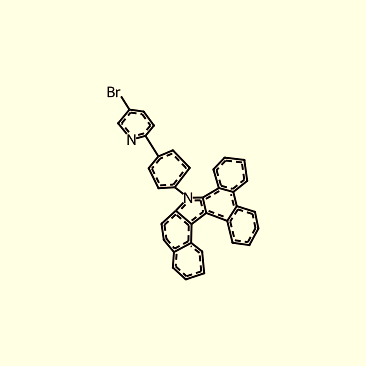 Brc1ccc(-c2ccc(-n3c4ccc5ccccc5c4c4c5ccccc5c5ccccc5c43)cc2)nc1